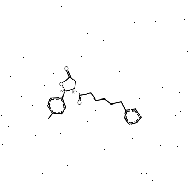 Cc1ccc([C@H]2OC(=O)C[C@@H]2C(=O)CCCCCc2ccccc2)cc1